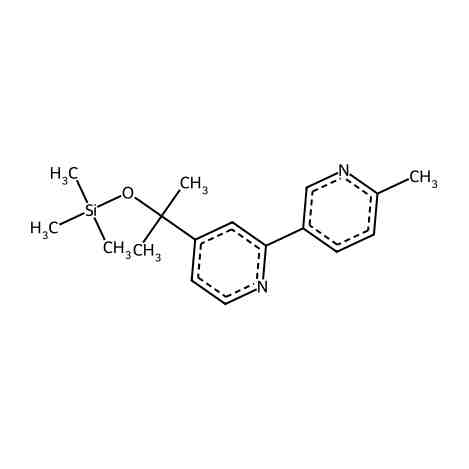 Cc1ccc(-c2cc(C(C)(C)O[Si](C)(C)C)ccn2)cn1